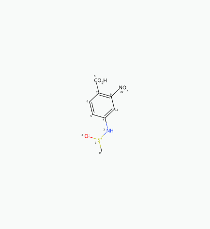 C[S+]([O-])Nc1ccc(C(=O)O)c([N+](=O)[O-])c1